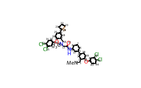 CNCc1cc(-c2cccc(NC(=O)CN(C)Cc3cc(-c4cccs4)ccc3Oc3ccc(Cl)c(Cl)c3)c2)ccc1Oc1ccc(Cl)c(Cl)c1